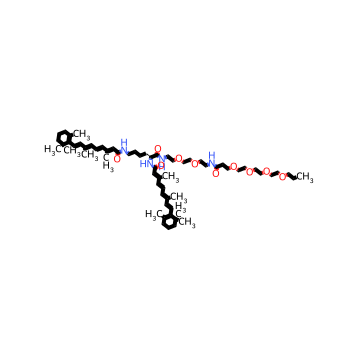 CCCOCCOCCOCCOCCC(=O)NCCOCCOCCNC(=O)[C@@H](CCCCNC(=O)/C=C(C)/C=C/C=C(C)/C=C/C1=C(C)CCCC1(C)C)NC(=O)/C=C(C)/C=C/C=C(C)/C=C/C1=C(C)CCCC1(C)C